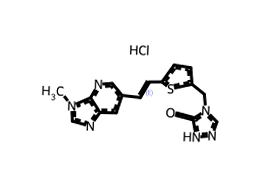 Cl.Cn1cnc2cc(/C=C/c3ccc(Cn4cn[nH]c4=O)s3)cnc21